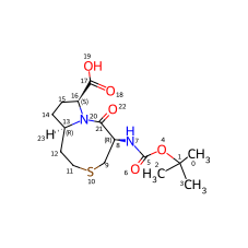 CC(C)(C)OC(=O)N[C@H]1CSCC[C@H]2CC[C@@H](C(=O)O)N2C1=O